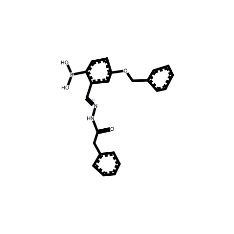 O=C(Cc1ccccc1)N/N=C/c1cc(OCc2ccccc2)ccc1B(O)O